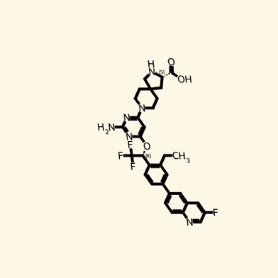 CCc1cc(-c2ccc3ncc(F)cc3c2)ccc1[C@@H](Oc1cc(N2CCC3(CC2)CN[C@H](C(=O)O)C3)nc(N)n1)C(F)(F)F